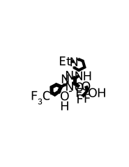 CCN1CCC[C@@H](Nc2nnc(-c3ccc(C(F)(F)F)cc3O)n(C)c2=O)C1.O=C(O)C(F)(F)F